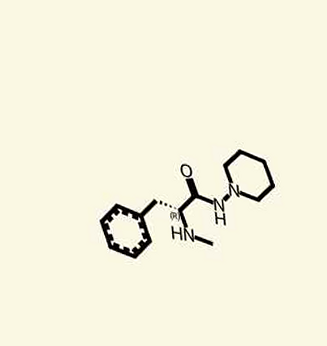 CN[C@H](Cc1ccccc1)C(=O)NN1CCCCC1